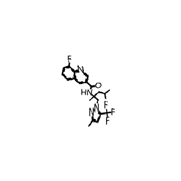 Cc1cc(C(F)(F)F)n(CC(C)(CC(C)C)NC(=O)c2cnc3c(F)cccc3c2)n1